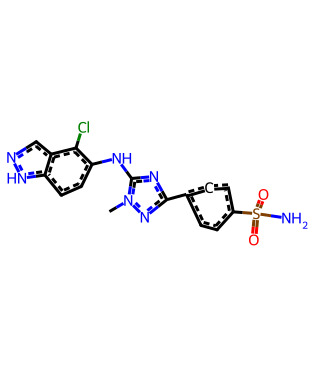 Cn1nc(-c2ccc(S(N)(=O)=O)cc2)nc1Nc1ccc2[nH]ncc2c1Cl